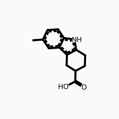 Cc1ccc2[nH]c3c(c2c1)CC(C(=O)O)CC3